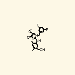 COc1cn(Cc2cc(F)cc(F)c2)c(NC2=C(C)C=C(C)C(CO)C2)nc1=O